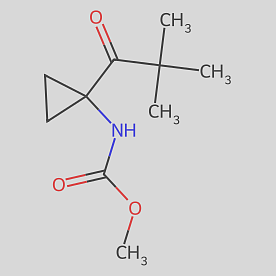 COC(=O)NC1(C(=O)C(C)(C)C)CC1